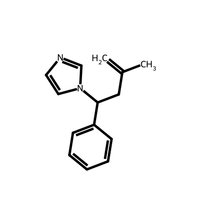 C=C(C)CC(c1ccccc1)n1ccnc1